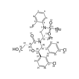 CC(C)[C@@H](CN(c1ccccc1F)S(=O)(=O)C(C)(C)C)N1C(=O)[C@@H](CC(=O)O)O[C@H](c2cccc(Cl)c2)[C@H]1c1ccc(Cl)cc1